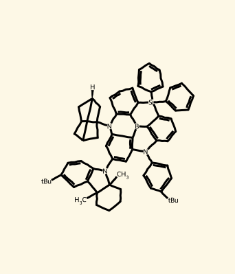 CC(C)(C)c1ccc(N2c3cc(N4c5ccc(C(C)(C)C)cc5C5(C)CCCCC45C)cc4c3B3c5c2cccc5[Si](c2ccccc2)(c2ccccc2)c2cccc(c23)N4C23CC4CC2C[C@@H]4C3)cc1